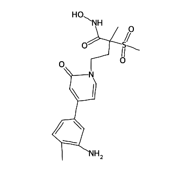 Cc1ccc(-c2ccn(CCC(C)(C(=O)NO)S(C)(=O)=O)c(=O)c2)cc1N